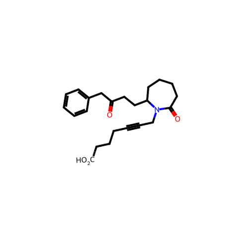 O=C(O)CCCC#CCN1C(=O)CCCCC1CCC(=O)Cc1ccccc1